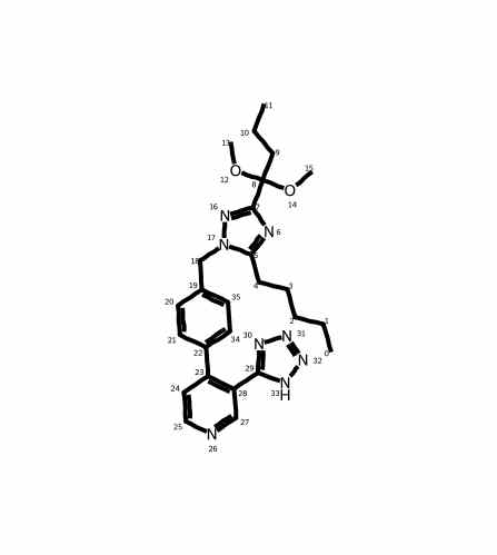 CCCCCc1nc(C(CCC)(OC)OC)nn1Cc1ccc(-c2ccncc2-c2nnn[nH]2)cc1